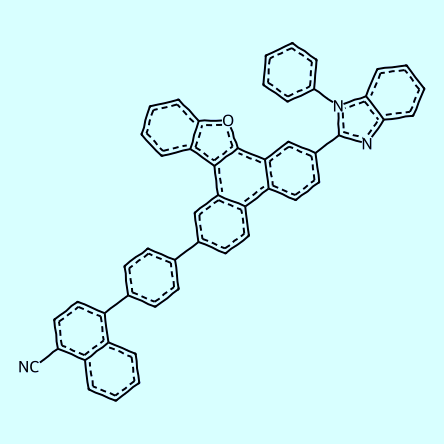 N#Cc1ccc(-c2ccc(-c3ccc4c5ccc(-c6nc7ccccc7n6-c6ccccc6)cc5c5oc6ccccc6c5c4c3)cc2)c2ccccc12